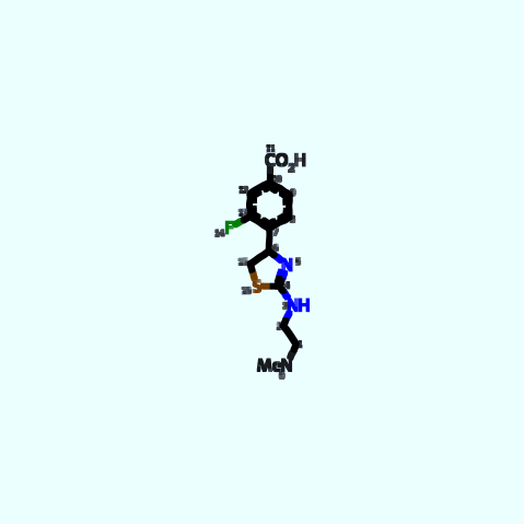 CNCCNC1=NC(c2ccc(C(=O)O)cc2F)CS1